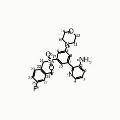 Nc1cccnc1-c1cc(N2CCOCC2)cc(S(=O)(=O)Cc2ccc(F)cc2F)c1